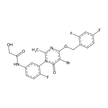 Cc1nc(OCc2ccc(F)cc2F)c(Br)c(=O)n1-c1cc(NC(=O)CO)ccc1F